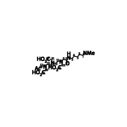 CNCCCCCNC(=O)CN(CCN(CCN(CC(C)=O)CC(=O)O)CC(=O)O)CC(=O)O